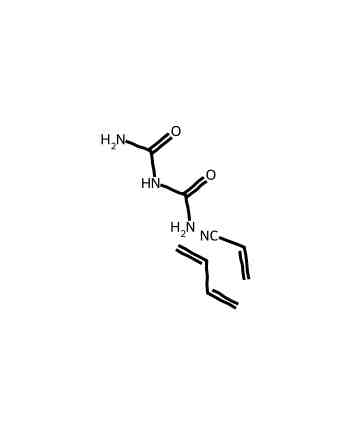 C=CC#N.C=CC=C.NC(=O)NC(N)=O